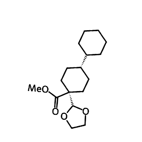 COC(=O)[C@]1(C2OCCO2)CC[C@@H](C2CCCCC2)CC1